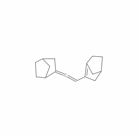 C(=CC1=C2CCC(C1)C2)=C1CC2CCC1C2